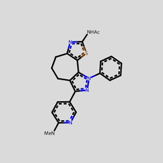 CNc1ccc(-c2nn(-c3ccccc3)c3c2CCCc2nc(NC(C)=O)sc2-3)cn1